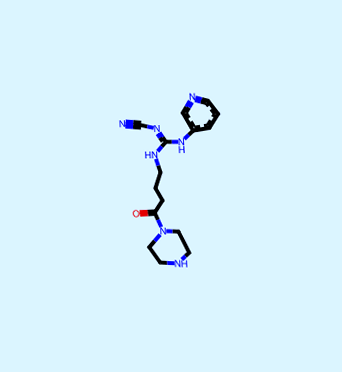 N#C/N=C(\NCCCC(=O)N1CCNCC1)Nc1cccnc1